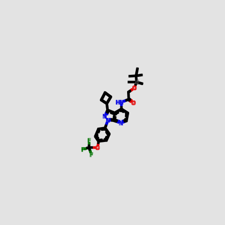 CC(C)(C)[Si](C)(C)OCC(=O)Nc1ccnc2c1c(C1CCC1)nn2-c1ccc(OC(F)(F)F)cc1